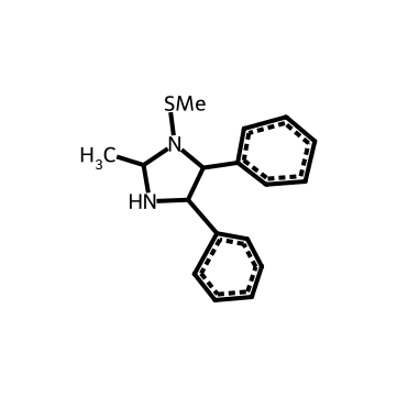 CSN1C(C)NC(c2ccccc2)C1c1ccccc1